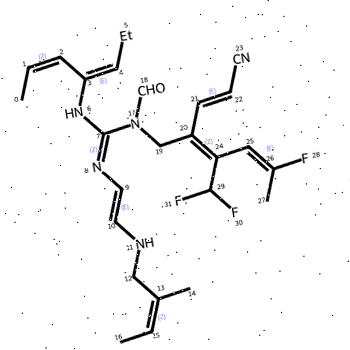 C/C=C\C(=C/CC)N/C(=N/C=C/NC/C(C)=C\C)N(C=O)CC(/C=C/C#N)=C(/C=C(\C)F)C(F)F